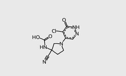 N#CC1(NC(=O)O)CCN(c2cn[nH]c(=O)c2Cl)C1